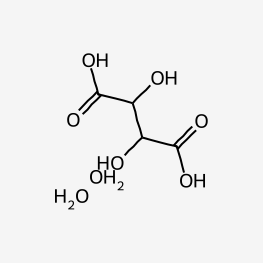 O.O.O=C(O)C(O)C(O)C(=O)O